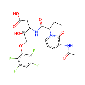 CCC(C(=O)NC(CC(=O)O)[C@H](O)COc1c(F)c(F)cc(F)c1F)n1cccc(NC(C)=O)c1=O